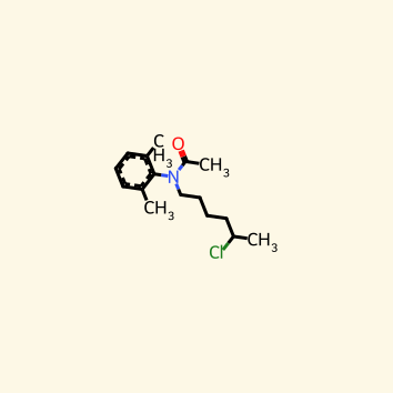 CC(=O)N(CCCCC(C)Cl)c1c(C)cccc1C